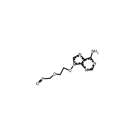 Nc1ncnc2c1ncn2OCCOCP=O